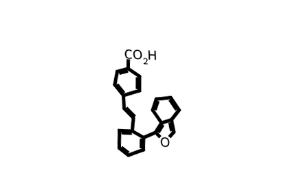 O=C(O)c1ccc(C=Cc2ccccc2-c2occ3ccccc23)cc1